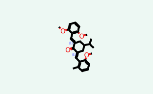 COc1cccc(C)c1/C=C1\CC(C(C)C)C/C(=C\c2c(OC)cccc2OC)C1=O